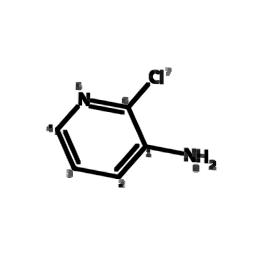 Nc1cc[c]nc1Cl